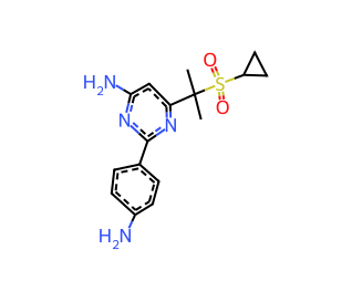 CC(C)(c1cc(N)nc(-c2ccc(N)cc2)n1)S(=O)(=O)C1CC1